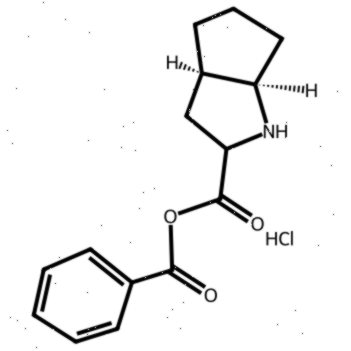 Cl.O=C(OC(=O)C1C[C@H]2CCC[C@H]2N1)c1ccccc1